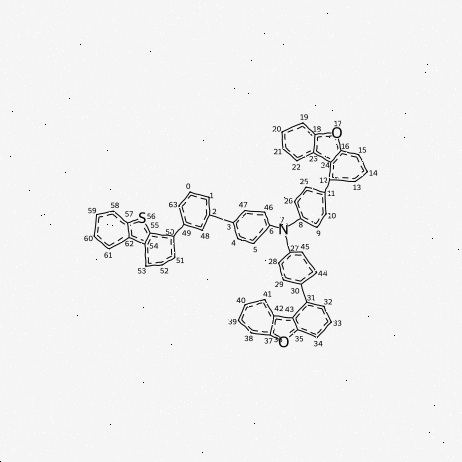 c1cc(-c2ccc(N(c3ccc(-c4cccc5oc6ccccc6c45)cc3)c3ccc(-c4cccc5oc6ccccc6c45)cc3)cc2)cc(-c2cccc3c2sc2ccccc23)c1